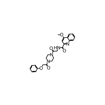 COc1cc(C(=O)NCC(=O)N2CCN(C(=O)COc3ccccc3)CC2)nc2ccccc12